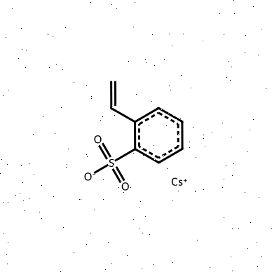 C=Cc1ccccc1S(=O)(=O)[O-].[Cs+]